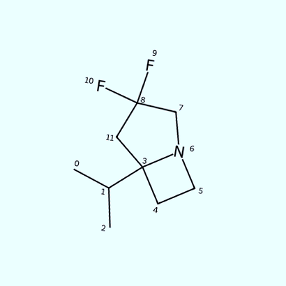 CC(C)C12CCN1CC(F)(F)C2